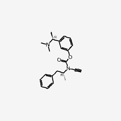 C#CN(C(=O)Oc1cccc([C@H](C)N(C)C)c1)[C@H](C)Cc1ccccc1